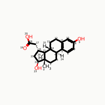 C[C@]12CC[C@@H]3c4ccc(O)cc4CC[C@H]3[C@@H]1[C@@H](CC(=O)O)C[C@@H]2O